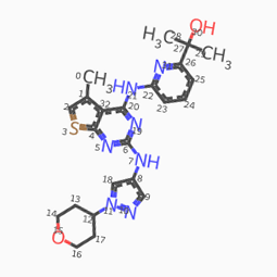 Cc1csc2nc(Nc3cnn(C4CCOCC4)c3)nc(Nc3cccc(C(C)(C)O)n3)c12